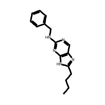 CCCCc1nc2cnc(NCc3ccccc3)nc2[nH]1